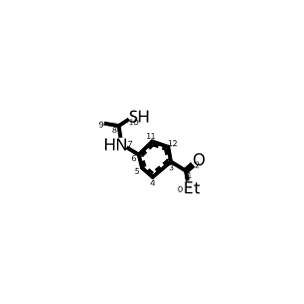 CCC(=O)c1ccc(NC(C)S)cc1